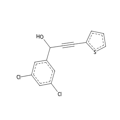 OC(C#Cc1cccs1)c1cc(Cl)cc(Cl)c1